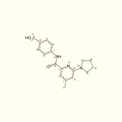 Cc1cc(C(=O)Nc2ccc(C(=O)O)cc2)nc(N2CCCC2)c1